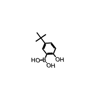 CC(C)(C)c1ccc(O)c(B(O)O)c1